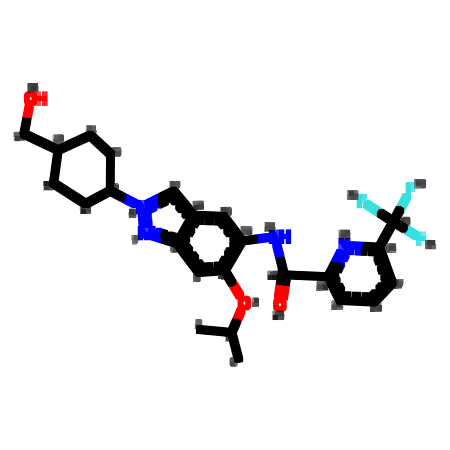 CC(C)Oc1cc2nn(C3CCC(CO)CC3)cc2cc1NC(=O)c1cccc(C(F)(F)F)n1